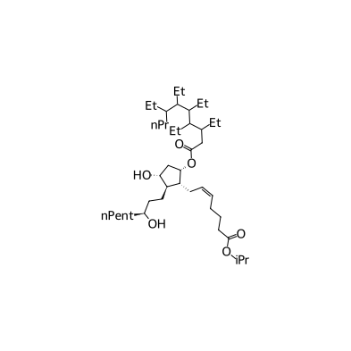 CCCCC[C@H](O)CC[C@@H]1[C@@H](C/C=C\CCCC(=O)OC(C)C)[C@@H](OC(=O)CC(CC)C(CC)C(CC)C(CC)C(CC)CCC)C[C@H]1O